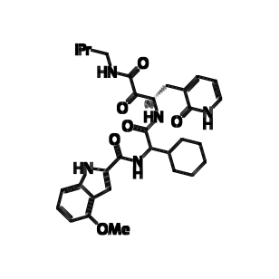 COc1cccc2[nH]c(C(=O)NC(C(=O)N[C@@H](Cc3ccc[nH]c3=O)C(=O)C(=O)NCC(C)C)C3CCCCC3)cc12